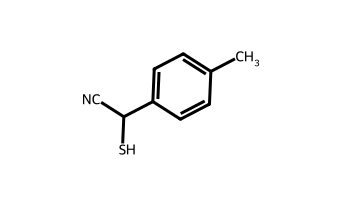 Cc1ccc(C(S)C#N)cc1